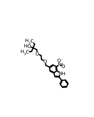 CCC(O)(CC)COCCOCc1cc([N+](=O)[O-])c2[nH]c(-c3ccccc3)cc2c1